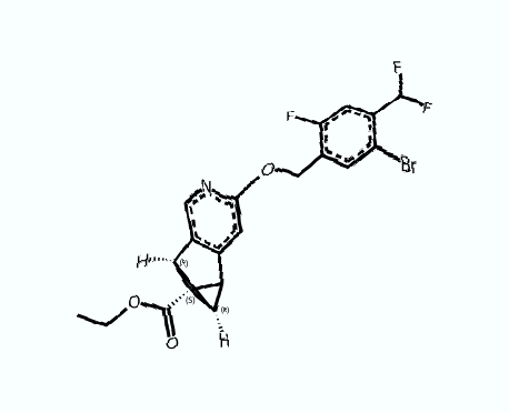 CCOC(=O)[C@@]12C3c4cc(OCc5cc(Br)c(C(F)F)cc5F)ncc4[C@H]1[C@@H]32